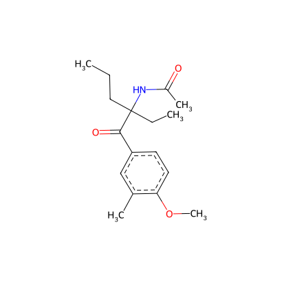 CCCC(CC)(NC(C)=O)C(=O)c1ccc(OC)c(C)c1